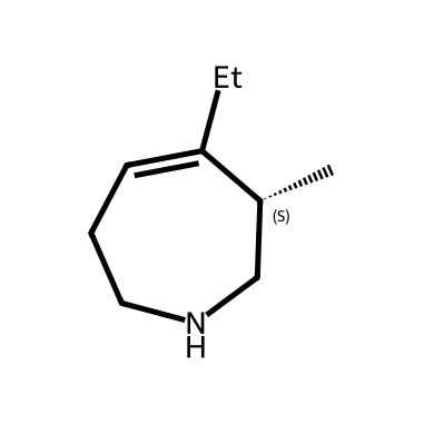 CCC1=CCCNC[C@H]1C